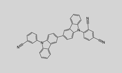 N#Cc1cccc(-n2c3ccccc3c3cc(-c4ccc5c(c4)c4ccccc4n5-c4ccc(C#N)cc4C#N)ccc32)c1